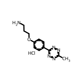 Cc1nnc(-c2ccc(OCCCN)cc2)nn1.Cl